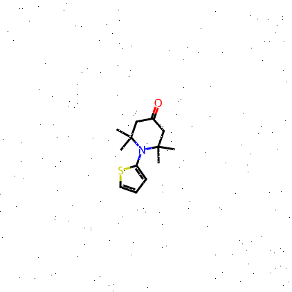 CC1(C)CC(=O)CC(C)(C)N1c1cccs1